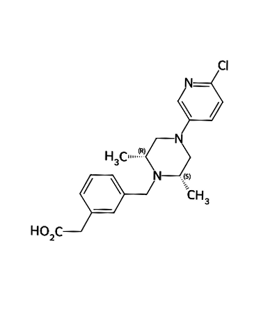 C[C@@H]1CN(c2ccc(Cl)nc2)C[C@H](C)N1Cc1cccc(CC(=O)O)c1